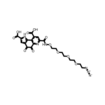 [N-]=[N+]=NCCOCCOCCOCCONC(=O)c1cc(C(=O)O)c2c(n1)C(=O)C(=O)c1cc(C(=O)O)[nH]c1-2